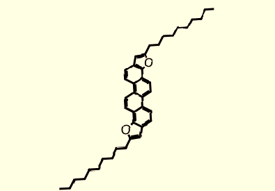 CCCCCCCCCCc1cc2ccc3c4ccc5c(ccc6cc(CCCCCCCCCC)oc65)c4ccc3c2o1